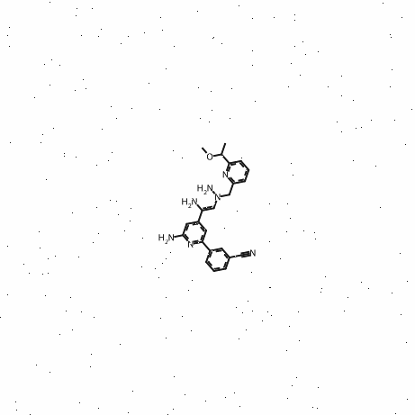 COC(C)c1cccc(CN(N)/C=C(\N)c2cc(N)nc(-c3cccc(C#N)c3)c2)n1